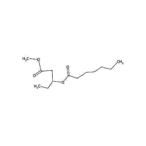 CCCCCCC(=O)OC(CC)CC(=O)OC